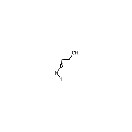 CCC=BNI